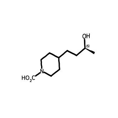 C[C@H](O)CCC1CCN(C(=O)O)CC1